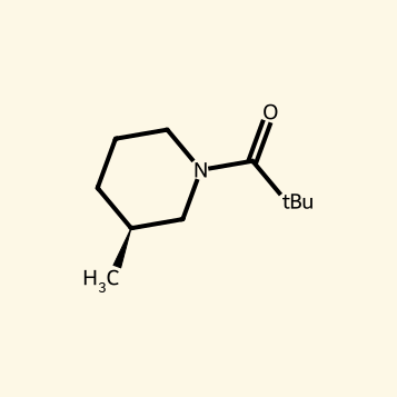 C[C@H]1CCCN(C(=O)C(C)(C)C)C1